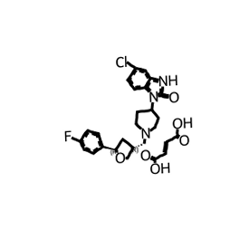 O=C(O)C=CC(=O)O.O=c1[nH]c2cc(Cl)ccc2n1C1CCN(C[C@@H]2CO[C@@H](c3ccc(F)cc3)C2)CC1